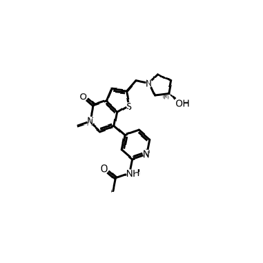 CC(=O)Nc1cc(-c2cn(C)c(=O)c3cc(CN4CC[C@@H](O)C4)sc23)ccn1